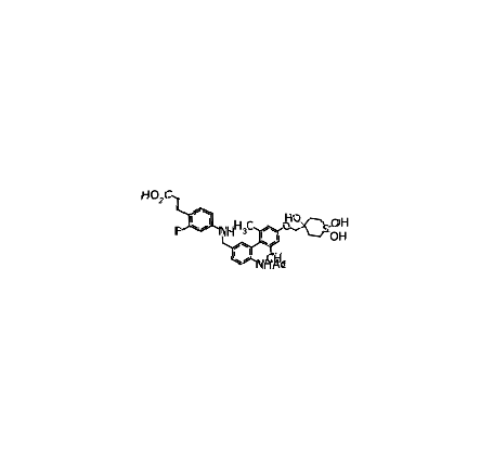 CC(=O)Nc1ccc(CNc2ccc(CCC(=O)O)c(F)c2)cc1-c1c(C)cc(OCC2(O)CCS(O)(O)CC2)cc1C